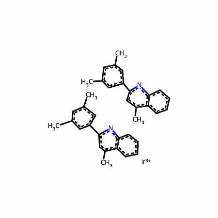 Cc1cc(C)cc(-c2cc(C)c3ccccc3n2)c1.Cc1cc(C)cc(-c2cc(C)c3ccccc3n2)c1.[Ir+3]